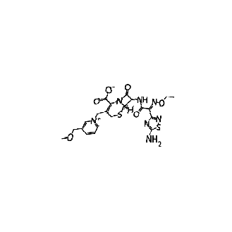 CCON=C(C(=O)NC1C(=O)N2C(C(=O)[O-])=C(C[n+]3cccc(COC)c3)CS[C@@H]12)c1nsc(N)n1